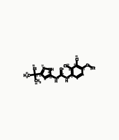 CCOc1ccc(NC(=O)Nc2cc(C(C)(C)CC)n[nH]2)c(Cl)c1Cl